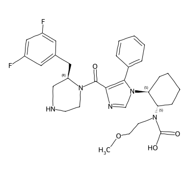 COCCN(C(=O)O)[C@H]1CCCC[C@@H]1n1cnc(C(=O)N2CCNC[C@H]2Cc2cc(F)cc(F)c2)c1-c1ccccc1